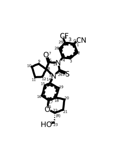 N#Cc1ccc(N2C(=O)C3(CCCC3)N(c3ccc4c(c3)CC[C@H](CO)O4)C2=S)cc1C(F)(F)F